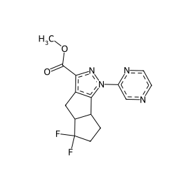 COC(=O)c1nn(-c2cnccn2)c2c1CC1C2CCC1(F)F